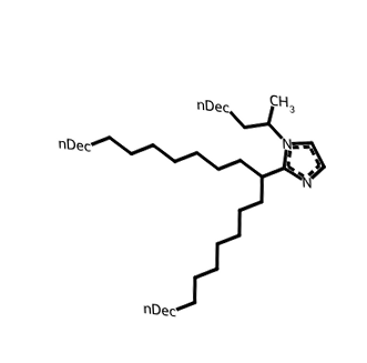 CCCCCCCCCCCCCCCCCC(CCCCCCCCCCCCCCCCC)c1nccn1C(C)CCCCCCCCCCC